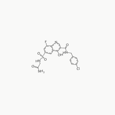 NC(=O)CNS(=O)(=O)c1cc(F)c2ncc(C(=O)NCc3ccc(Cl)cc3)c(O)c2c1